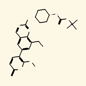 C=C(N)/C=C\C(=C(/C)OC)c1cc(CC)c2nc(N[C@H]3CC[C@H](NC(=O)OC(C)(C)C)CC3)ncc2c1